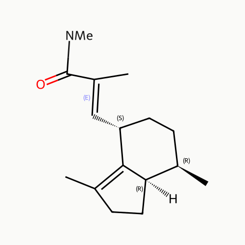 CNC(=O)/C(C)=C/[C@@H]1CC[C@@H](C)[C@H]2CCC(C)=C12